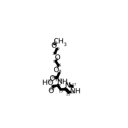 COCCOCCOCC(=O)NC(Cc1c[nH]cn1)C(=O)O